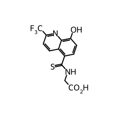 O=C(O)CNC(=S)c1ccc(O)c2nc(C(F)(F)F)ccc12